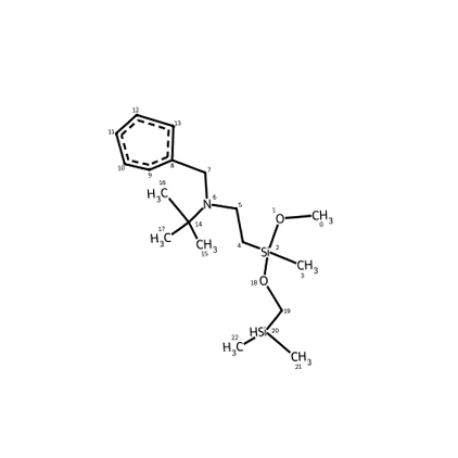 CO[Si](C)(CCN(Cc1ccccc1)C(C)(C)C)OC[SiH](C)C